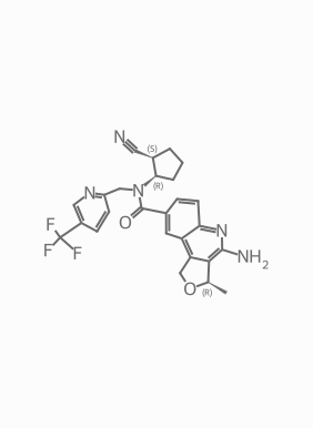 C[C@H]1OCc2c1c(N)nc1ccc(C(=O)N(Cc3ccc(C(F)(F)F)cn3)[C@@H]3CCC[C@@H]3C#N)cc21